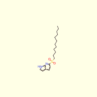 CCCCCCCCCCCCS(=O)(=O)c1ccc2cc[nH]c2n1